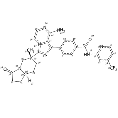 C[C@@]1(c2nc(-c3ccc(C(=O)Nc4cc(C(F)(F)F)ccn4)cc3)c3c(N)nccn23)CC[C@H]2CCC(=O)N2C1